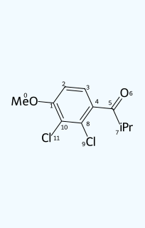 COc1ccc(C(=O)C(C)C)c(Cl)c1Cl